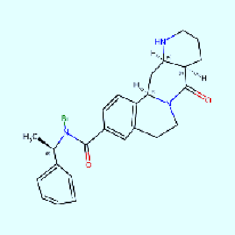 C[C@H](c1ccccc1)N(Br)C(=O)c1ccc2c(c1)CCN1C(=O)[C@@H]3CCCN[C@@H]3C[C@H]21